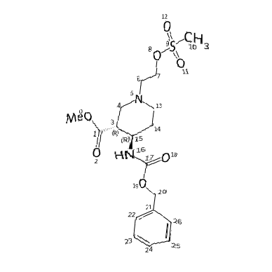 COC(=O)[C@@H]1CN(CCOS(C)(=O)=O)CC[C@H]1NC(=O)OCc1ccccc1